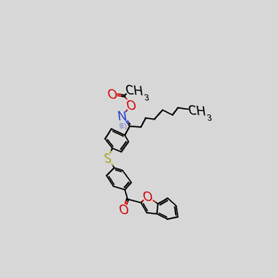 CCCCCCC/C(=N\OC(C)=O)c1ccc(Sc2ccc(C(=O)c3cc4ccccc4o3)cc2)cc1